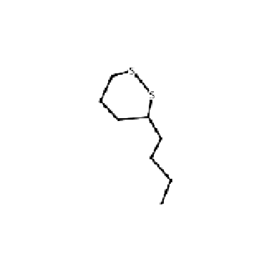 CCCCC1CCCSS1